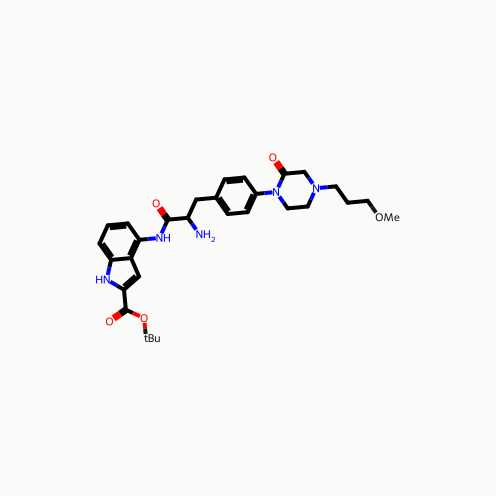 COCCCN1CCN(c2ccc(CC(N)C(=O)Nc3cccc4[nH]c(C(=O)OC(C)(C)C)cc34)cc2)C(=O)C1